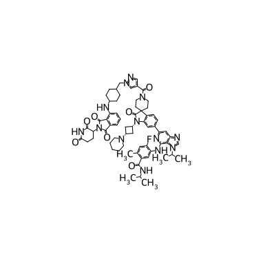 Cc1cc(F)c(Nc2nc(-c3ccc4c(c3)N([C@H]3C[C@@H](N5CCCCC5)C3)C(=O)C43CCN(C(=O)c4cnn(CC5CCC(Nc6cccc7c6C(=O)N(C6CCC(=O)NC6=O)C7=O)CC5)c4)CC3)cc3ncn(C(C)C)c23)cc1C(=O)NC(C)C